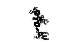 C[C@@H]1CC(OCC[C@H]2CC[C@H](N3C(=S)N(c4ccc(C#N)c(C(F)(F)F)c4)C(=O)C3(C)C)CC2)C[C@H](C)N1C(=O)OC(C)(C)C